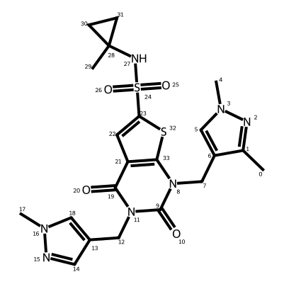 Cc1nn(C)cc1Cn1c(=O)n(Cc2cnn(C)c2)c(=O)c2cc(S(=O)(=O)NC3(C)CC3)sc21